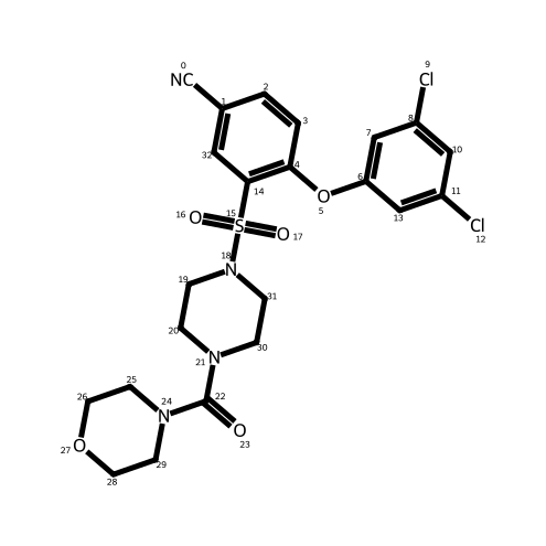 N#Cc1ccc(Oc2cc(Cl)cc(Cl)c2)c(S(=O)(=O)N2CCN(C(=O)N3CCOCC3)CC2)c1